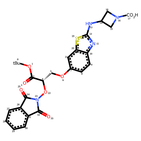 CC(C)(C)OC(=O)[C@H](COc1ccc2nc(NC3CN(C(=O)O)C3)sc2c1)ON1C(=O)c2ccccc2C1=O